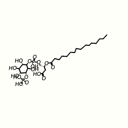 CCCCCCCCCCCCCCCC(=O)O[C@@H](COP(=O)(O)OC1C(O)[C@H](OP(=O)(O)O)[C@H](O)C(O)[C@@H]1O)CC(=O)O